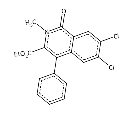 CCOC(=O)c1c(-c2ccccc2)c2cc(Cl)c(Cl)cc2c(=O)n1C